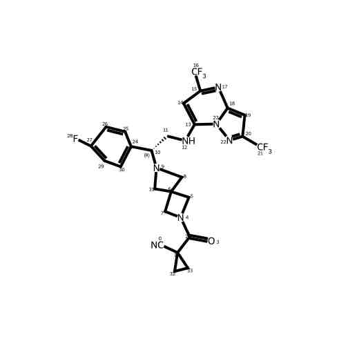 N#CC1(C(=O)N2CC3(C2)CN([C@@H](CNc2cc(C(F)(F)F)nc4cc(C(F)(F)F)nn24)c2ccc(F)cc2)C3)CC1